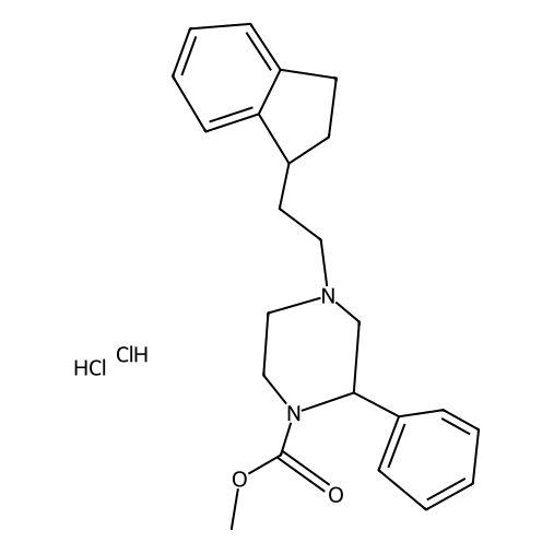 COC(=O)N1CCN(CCC2CCc3ccccc32)CC1c1ccccc1.Cl.Cl